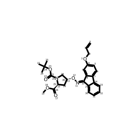 C=CCOc1ccc2c(c1)C(=NO[C@@H]1C[C@@H](C(=O)OC)N(C(=O)OC(C)(C)C)C1)c1ccccc1-2